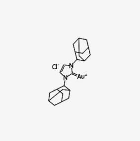 [Au+]=[c]1n(C2C3CC4CC(C3)CC2C4)ccn1C1C2CC3CC(C2)CC1C3.[Cl-]